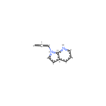 C=C=Cn1ccc2cccnc21